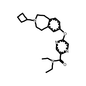 CCN(CC)C(=O)c1cnc(Oc2ccc3c(c2)CCN(C2CCC2)CC3)cn1